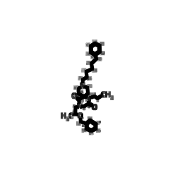 CCCN1C(=O)CN(C[C@@H](C)OCc2ccccc2)C(=O)C12CCN(CCCCCCc1ccccc1)CC2